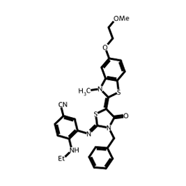 CCNc1ccc(C#N)cc1N=C1SC(=C2Sc3ccc(OCCOC)cc3N2C)C(=O)N1Cc1ccccc1